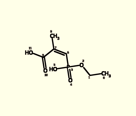 CCOP(=O)(O)C=C(C)C(=O)O